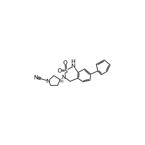 N#CN1CC[C@@H](N2Cc3ccc(-c4ccccc4)cc3NS2(=O)=O)C1